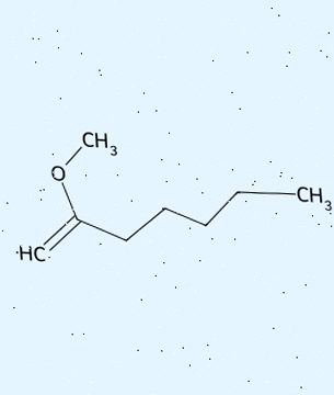 [CH]=C(CCCCC)OC